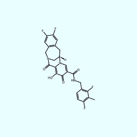 Cc1c(F)ccc(CNC(=O)c2cn3c(c(O)c2=O)C(=O)N2Cc4cc(F)c(F)cc4C[C@H]3C2)c1F